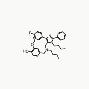 CCCCN(Cc1ccc(O)c(OCC)c1)Cc1c(-c2ccc(F)cc2)nc(-c2ccccc2)n1CCCC